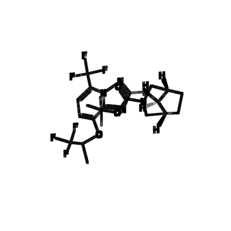 CC(Oc1ccc(C(F)(F)F)n2nc(N[C@@H]3[C@@H]4CC[C@H]3CN(C(=O)OC(C)(C)C)C4)nc12)C(F)(F)F